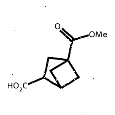 COC(=O)C12CC(C1)C(C(=O)O)C2